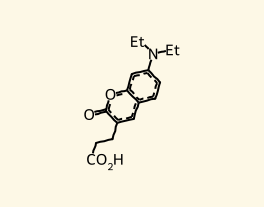 CCN(CC)c1ccc2cc(CCC(=O)O)c(=O)oc2c1